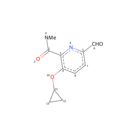 CNC(=O)c1nc(C=O)ccc1OC1CC1